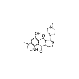 CCNc1c(N(C)C)cc(O)c2c1C(=O)c1cccc(N3CCN(C)CC3)c1C2=O